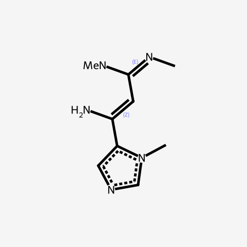 C/N=C(\C=C(/N)c1cncn1C)NC